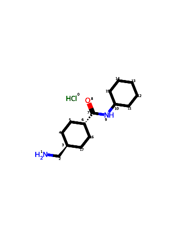 Cl.NC[C@H]1CC[C@H](C(=O)NC2CCCCC2)CC1